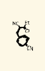 CCC(=O)C(C#N)=Cc1ccc(C#N)cc1